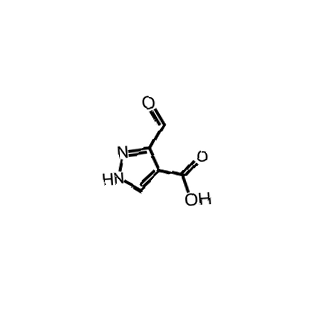 O=Cc1n[nH]cc1C(=O)O